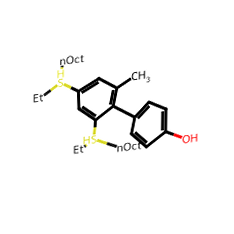 CCCCCCCC[SH](CC)c1cc(C)c(-c2ccc(O)cc2)c([SH](CC)CCCCCCCC)c1